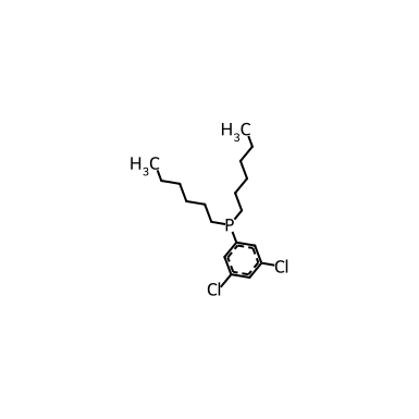 CCCCCCP(CCCCCC)c1cc(Cl)cc(Cl)c1